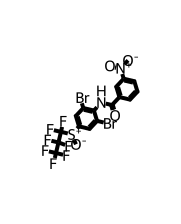 O=C(Nc1c(Br)cc([S+]([O-])C(F)(F)C(F)(F)C(F)(F)F)cc1Br)c1cccc([N+](=O)[O-])c1